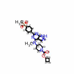 CN(c1nc(-c2ccc(S(C)(=O)=O)cc2)nc2[nH]ncc12)C1CCN(C(=O)OC2CCC2)CC1